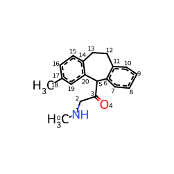 CNCC(=O)C1c2ccccc2CCc2ccc(C)cc21